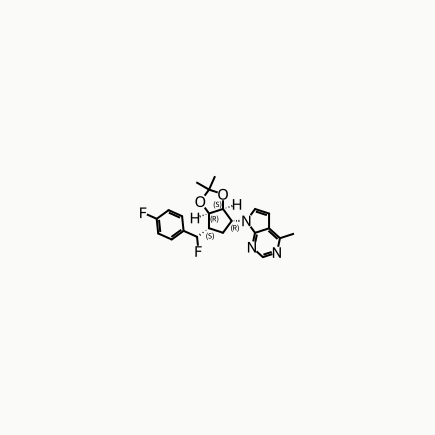 Cc1ncnc2c1ccn2[C@@H]1C[C@H](C(F)c2ccc(F)cc2)[C@H]2OC(C)(C)O[C@H]21